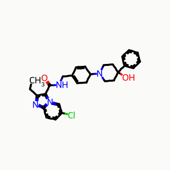 CCc1nc2ccc(Cl)cn2c1C(=O)NCC1=CCC(N2CCC(O)(c3ccccc3)CC2)C=C1